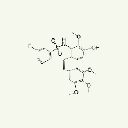 COc1cc(/C=C\c2ccc(O)c(OC)c2NS(=O)(=O)c2cccc(F)c2)cc(OC)c1OC